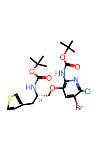 CC(C)(C)OC(=O)Nc1nc(Cl)c(Br)cc1OC[C@H](Cc1ccsc1)NC(=O)OC(C)(C)C